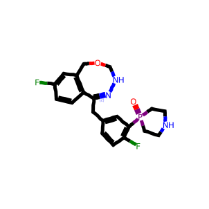 O=P1(c2cc(C/C3=N/NCOCc4cc(F)ccc43)ccc2F)CCNCC1